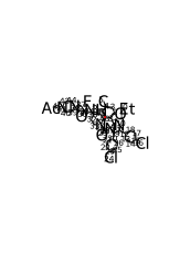 CCOc1cc(C(F)(F)F)ccc1C1=NC(c2ccc(Cl)cc2)C(c2ccc(Cl)cc2)N1C(=O)N1CCC(NC(=O)CN2CCN(C(C)=O)CC2)CC1